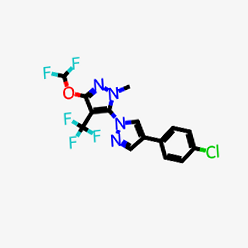 Cn1nc(OC(F)F)c(C(F)(F)F)c1-n1cc(-c2ccc(Cl)cc2)cn1